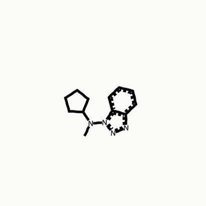 CN(C1CCCC1)n1nnc2ccccc21